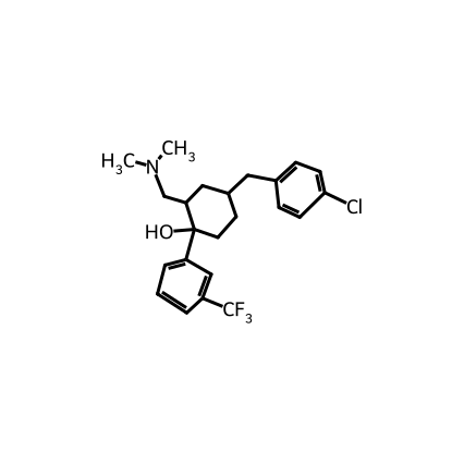 CN(C)CC1CC(Cc2ccc(Cl)cc2)CCC1(O)c1cccc(C(F)(F)F)c1